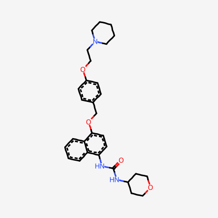 O=C(Nc1ccc(OCc2ccc(OCCN3CCCCC3)cc2)c2ccccc12)NC1CCOCC1